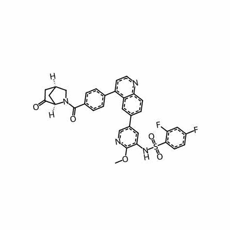 COc1ncc(-c2ccc3nccc(-c4ccc(C(=O)N5C[C@@H]6CC(=O)[C@H]5C6)cc4)c3c2)cc1NS(=O)(=O)c1ccc(F)cc1F